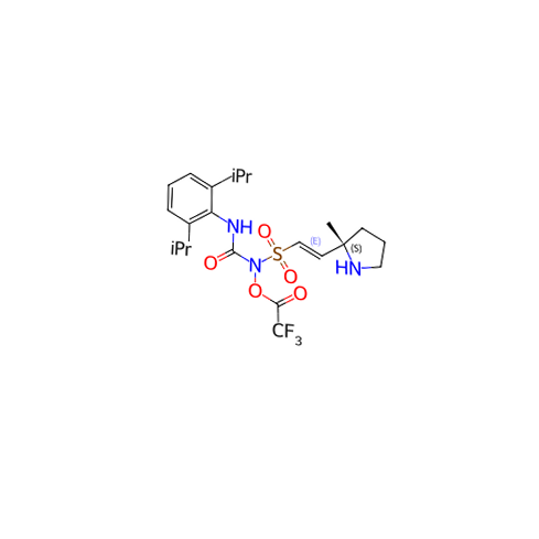 CC(C)c1cccc(C(C)C)c1NC(=O)N(OC(=O)C(F)(F)F)S(=O)(=O)/C=C/[C@]1(C)CCCN1